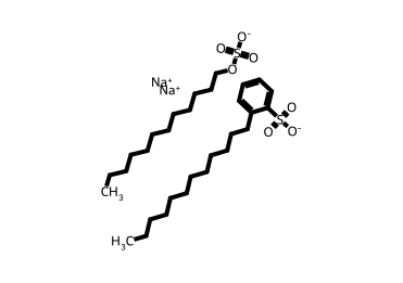 CCCCCCCCCCCCOS(=O)(=O)[O-].CCCCCCCCCCCCc1ccccc1S(=O)(=O)[O-].[Na+].[Na+]